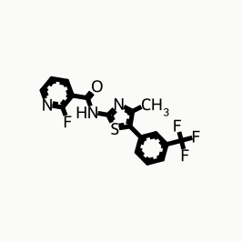 Cc1nc(NC(=O)c2cccnc2F)sc1-c1cccc(C(F)(F)F)c1